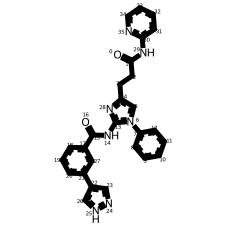 O=C(CCc1cn(-c2ccccc2)c(NC(=O)c2cccc(-c3cn[nH]c3)c2)n1)Nc1ccccn1